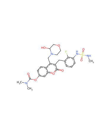 CNS(=O)(=O)Nc1cccc(Cc2c(CN3CCOCC3O)c3ccc(OC(=O)N(C)C)cc3oc2=O)c1F